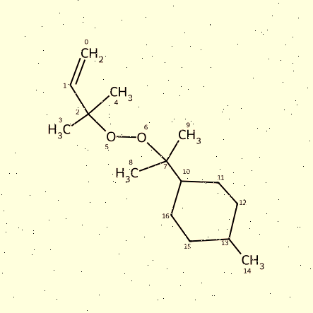 C=CC(C)(C)OOC(C)(C)C1CCC(C)CC1